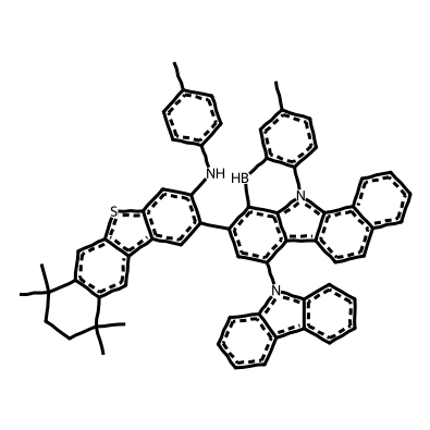 Cc1ccc(Nc2cc3sc4cc5c(cc4c3cc2-c2cc(-n3c4ccccc4c4ccccc43)c3c4ccc6ccccc6c4n4c3c2Bc2cc(C)ccc2-4)C(C)(C)CCC5(C)C)cc1